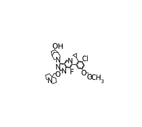 COCOc1cc(Cl)c(C2CC2)c(-c2ncc3c(N4CC5CC(O)C(C5)C4)nc(OCC45CCCN4CCC5)nc3c2F)c1